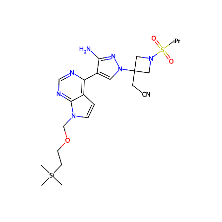 CC(C)S(=O)(=O)N1CC(CC#N)(n2cc(-c3ncnc4c3ccn4COCC[Si](C)(C)C)c(N)n2)C1